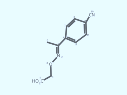 CC(=NOCC(=O)O)c1ccc(C#N)cc1